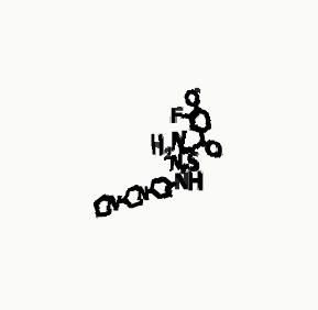 COc1ccc(C(=O)c2sc(Nc3ccc(N4CCC(N5CCCC5)CC4)cc3)nc2N)cc1F